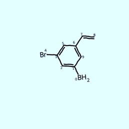 Bc1cc(Br)cc(C=C)c1